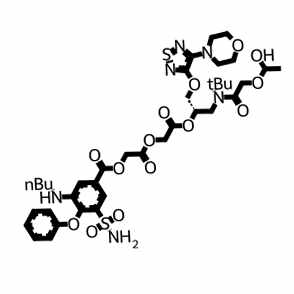 CCCCNc1cc(C(=O)OCC(=O)OCC(=O)O[C@H](COc2nsnc2N2CCOCC2)CN(C(=O)COC(C)O)C(C)(C)C)cc(S(N)(=O)=O)c1Oc1ccccc1